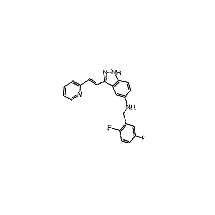 Fc1ccc(F)c(CNc2ccc3[nH]nc(C=Cc4ccccn4)c3c2)c1